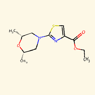 CCOC(=O)c1csc(N2C[C@@H](C)O[C@@H](C)C2)n1